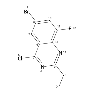 CCc1nc(Cl)c2cc(Br)cc(F)c2n1